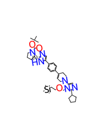 CC(C)(C)OC(=O)N1CCC[C@H]1c1ncc(-c2ccc(C3=CCN(c4cnc(C5CCCC5)n4COCC[Si](C)(C)C)CC3)cc2)[nH]1